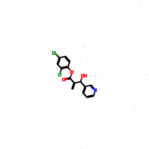 C=C(C(=O)Oc1ccc(Cl)cc1Cl)C(O)c1cccnc1